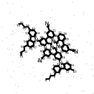 CCCCc1ccc2c(c1)c1cc(I)ccc1n2-c1ccc(-c2nc(-c3ccccc3-c3cccc(C#N)c3)nc(-c3ccc(-n4c5ccc(CCCC)cc5c5cc(CCCC)ccc54)cc3-c3cccc(C#N)c3)n2)c(-c2cccc(C#N)c2)c1